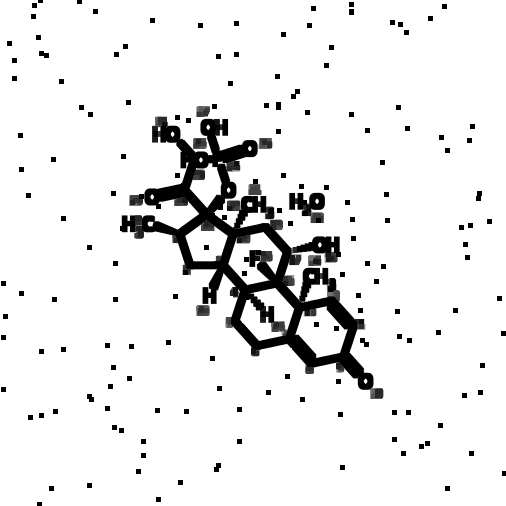 C[C@@H]1C[C@H]2[C@@H]3CCC4=CC(=O)C=C[C@]4(C)[C@@]3(F)[C@@H](O)C[C@]2(C)[C@@]1(OP(=O)(O)O)C(=O)CO.O